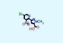 Cn1nc(-c2ncc(Br)cc2[N+](=O)[O-])cc1C(=O)O